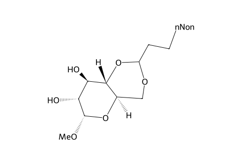 CCCCCCCCCCCC1OC[C@H]2O[C@H](OC)[C@H](O)[C@@H](O)[C@@H]2O1